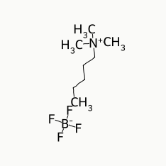 CCCCC[N+](C)(C)C.F[B-](F)(F)F